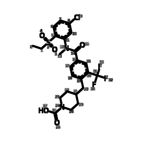 CCS(=O)(=O)c1ccc(Cl)cc1N(C)C(=O)c1ccc(CC2CCN(C(=O)O)CC2)c(C(F)(F)F)c1